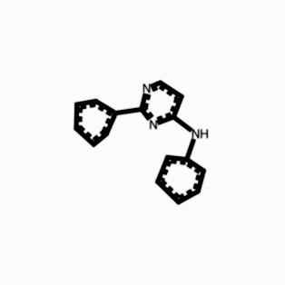 [c]1cc(Nc2ccccc2)nc(-c2ccccc2)n1